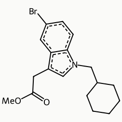 COC(=O)Cc1cn(CC2CCCCC2)c2ccc(Br)cc12